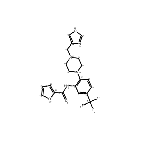 O=C(Nc1cc(C(F)(F)F)ccc1N1CCN(Cc2cocn2)CC1)c1ccco1